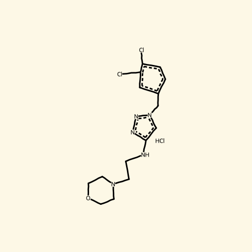 Cl.Clc1ccc(Cn2cc(NCCN3CCOCC3)nn2)cc1Cl